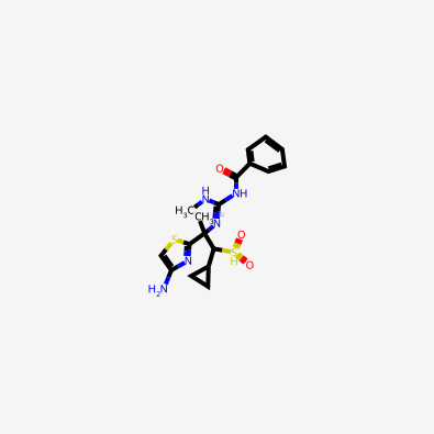 CN/C(=N\C(C)(c1nc(N)cs1)C(C1CC1)[SH](=O)=O)NC(=O)c1ccccc1